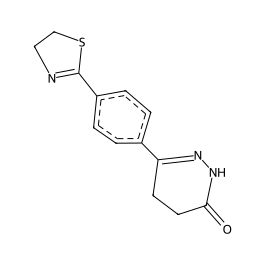 O=C1CCC(c2ccc(C3=NCCS3)cc2)=NN1